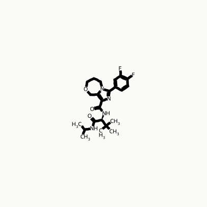 CC(C)NC(=O)[C@@H](NC(=O)c1nc(-c2ccc(F)c(F)c2)n2c1COCCC2)C(C)(C)C